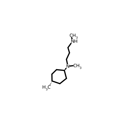 CNCCCN(C)[C@H]1CC[C@H](C)CC1